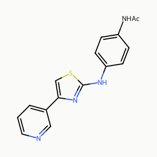 CC(=O)Nc1ccc(Nc2nc(-c3cccnc3)cs2)cc1